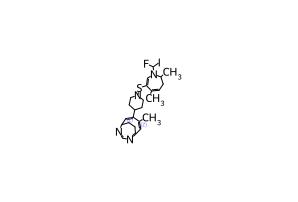 CC1=CCC(C)N(C(F)I)C=C1SN1CCC(C2=C/C3CCC(=NC=N3)/C=C\2C)CC1